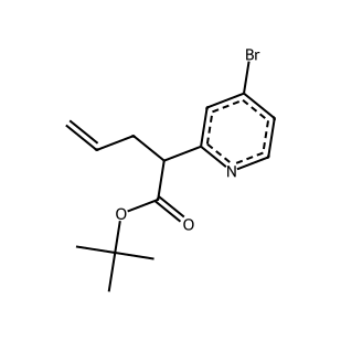 C=CCC(C(=O)OC(C)(C)C)c1cc(Br)ccn1